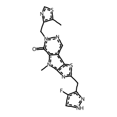 Cc1scnc1Cn1ncc2c3sc(Cc4n[nH]cc4F)nc3n(C)c2c1=O